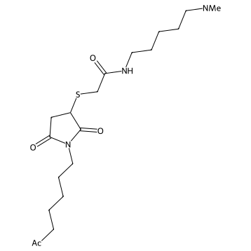 CNCCCCCNC(=O)CSC1CC(=O)N(CCCCCC(C)=O)C1=O